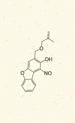 C=C(C)COCc1cc2oc3ccccc3c2c(N=O)c1O